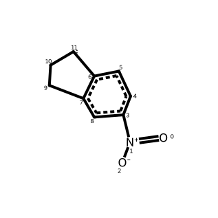 O=[N+]([O-])c1ccc2c(c1)CC[C]2